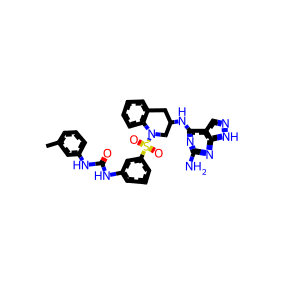 Cc1cccc(NC(=O)Nc2cccc(S(=O)(=O)N3CC(Nc4nc(N)nc5[nH]ncc45)Cc4ccccc43)c2)c1